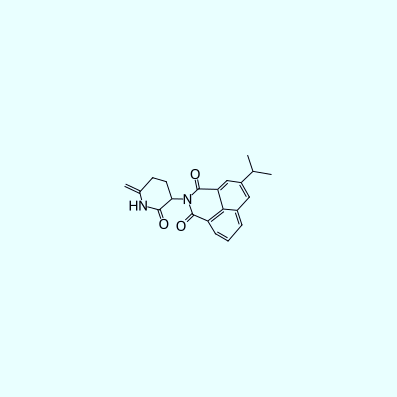 C=C1CCC(N2C(=O)c3cccc4cc(C(C)C)cc(c34)C2=O)C(=O)N1